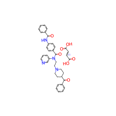 O=C(Nc1ccc(C(=O)N(CCN2CCC(C(=O)c3ccccc3)CC2)c2cccnc2)cc1)c1ccccc1.O=C(O)/C=C/C(=O)O